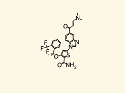 C[C@@H](Oc1cc(-n2cnc3cc(C(=O)C=CN(C)C)ccc32)sc1C(N)=O)c1ccccc1C(F)(F)F